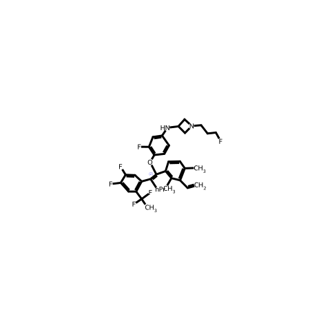 C=Cc1c(C)ccc(/C(Oc2ccc(NC3CN(CCCF)C3)cc2F)=C(\CCC)c2cc(F)c(F)cc2C(C)(F)F)c1C